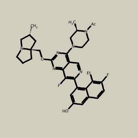 CCc1c(F)ccc2cc(O)cc(-c3ncc4c(N5CCN(C(C)=O)[C@H](C)C5)nc(OC[C@@]56CCCN5C[C@H](C)C6)nc4c3F)c12